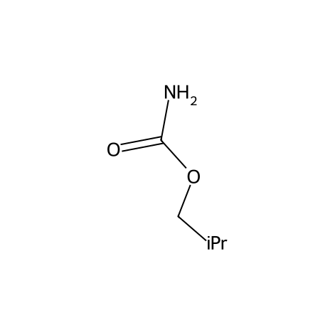 [CH2]C(C)COC(N)=O